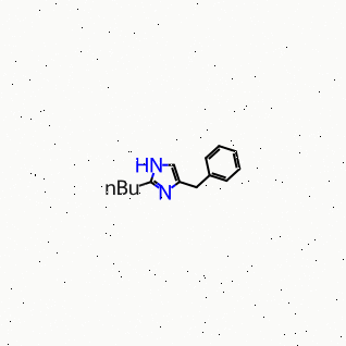 CCCCc1nc(Cc2ccccc2)c[nH]1